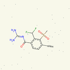 CCCCCCc1ccc(C(=O)N=C(N)N)c(C(F)F)c1S(C)(=O)=O